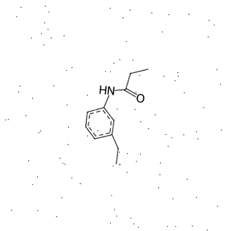 [CH2]Cc1cccc(NC(=O)CC)c1